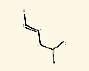 CC(C)CC=CF